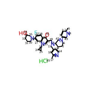 Cc1ccc(N2CCC[C@H](N(Cc3ccnc(C)c3)Cc3cn(C4CC4)c4cc(N5CCC[C@@H](O)C5)c(F)cc4c3=O)C2)cn1.Cl